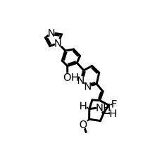 CO[C@@H]1C[C@@H]2N[C@H]1C/C(=C\c1ccc(-c3ccc(-n4ccnc4)cc3O)nn1)[C@@H]2F